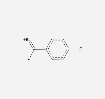 [CH]=C(F)c1ccc(F)cc1